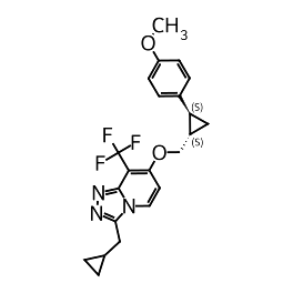 COc1ccc([C@H]2C[C@@H]2COc2ccn3c(CC4CC4)nnc3c2C(F)(F)F)cc1